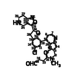 CN(Cc1cc2nccc(-c3cc(Cl)cc4c3OC(c3onc5c3CNCC5)C4)c2s1)C(=O)CCC=O